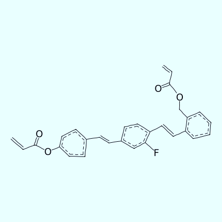 C=CC(=O)OCc1ccccc1/C=C/c1ccc(/C=C/c2ccc(OC(=O)C=C)cc2)cc1F